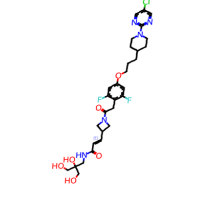 O=C(/C=C/C1CN(C(=O)Cc2c(F)cc(OCCCC3CCN(c4ncc(Cl)cn4)CC3)cc2F)C1)NCC(O)(CO)CO